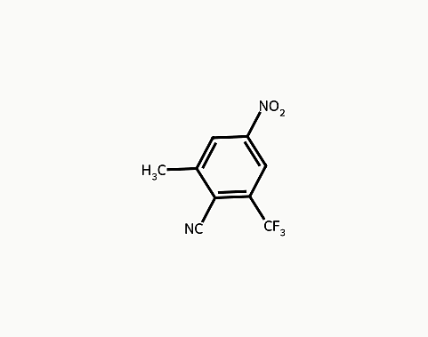 Cc1cc([N+](=O)[O-])cc(C(F)(F)F)c1C#N